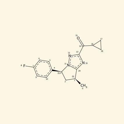 C[C@H]1C[C@@H](c2ccc(F)cc2)n2nc(C(=O)C3CC3)nc21